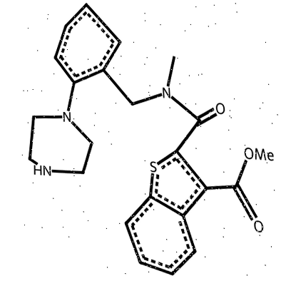 COC(=O)c1c(C(=O)N(C)Cc2ccccc2N2CCNCC2)sc2ccccc12